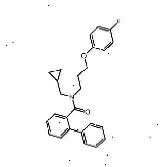 O=C(c1ccccc1-c1ccccc1)N(CCCOc1ccc(F)cc1)CC1CC1